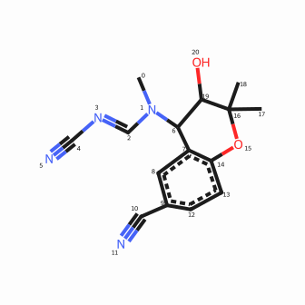 CN(C=NC#N)C1c2cc(C#N)ccc2OC(C)(C)C1O